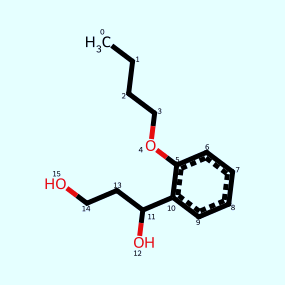 CCCCOc1ccccc1C(O)CCO